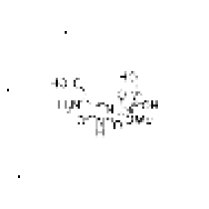 CO[C@@H]1[C@@H](O)[C@@H](CO)O[C@H]1n1cc(C(N)CC(=O)O)c(=O)[nH]c1=O